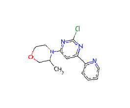 CC1COCCN1c1cc(-c2ccccn2)nc(Cl)n1